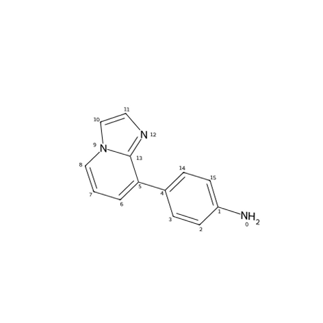 Nc1ccc(-c2cccn3ccnc23)cc1